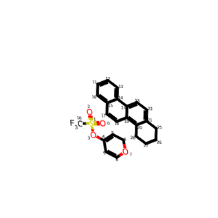 O=S(=O)(OC1=CCOC=C1)C(F)(F)F.c1ccc2c(c1)ccc1c3c(ccc12)CCCC3